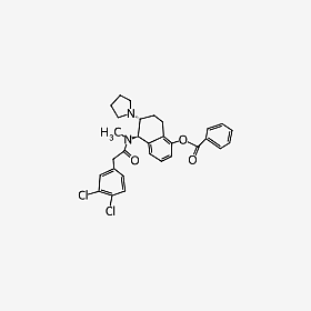 CN(C(=O)Cc1ccc(Cl)c(Cl)c1)[C@@H]1c2cccc(OC(=O)c3ccccc3)c2CC[C@H]1N1CCCC1